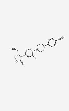 N#Cc1ccc(N2CCN(c3ccc(N4C(=O)OCC4CO)cc3F)CC2)nc1